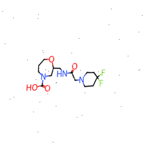 O=C(CN1CCC(F)(F)CC1)NCC1CN(C(=O)O)CCCO1